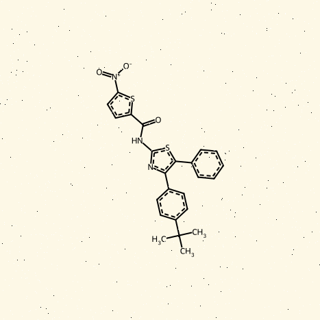 CC(C)(C)c1ccc(-c2nc(NC(=O)c3ccc([N+](=O)[O-])s3)sc2-c2ccccc2)cc1